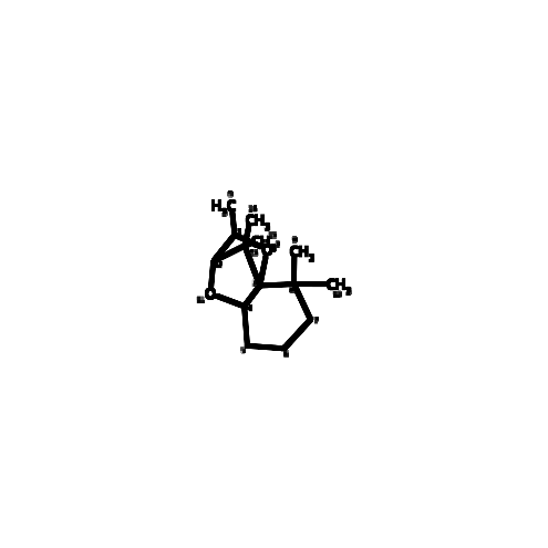 CC1OC23C(CCCC2(C)C)OC1C3(C)C